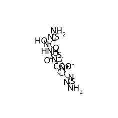 Nc1nc(C(=NO)C(=O)N[C@@H]2C(=O)N3C(C(=O)[O-])=C(C[n+]4cccc(-c5nsc(N)n5)c4)CS[C@@H]23)cs1